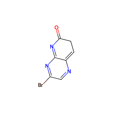 O=C1CC=c2ncc(Br)nc2=N1